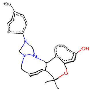 CC1(C)Oc2cc(O)ccc2C2C1=CCN1CN(c3ccc(C(C)(C)C)cc3)CN21